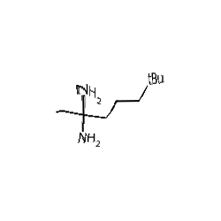 CC(C)(C)CCCC(C)(N)N